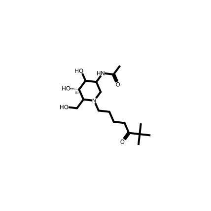 CC(=O)NC1CN(CCCCC(=O)C(C)(C)C)C(CO)[C@H](O)C1O